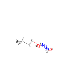 C=CCCON[C]=O